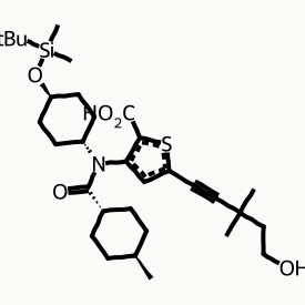 CC(C)(C#Cc1cc(N(C(=O)[C@H]2CC[C@H](C)CC2)[C@H]2CC[C@H](O[Si](C)(C)C(C)(C)C)CC2)c(C(=O)O)s1)CCO